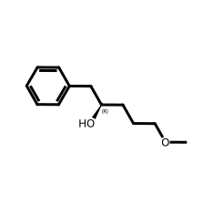 COCCC[C@@H](O)Cc1ccccc1